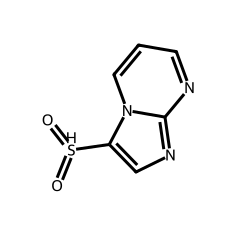 O=[SH](=O)c1cnc2ncccn12